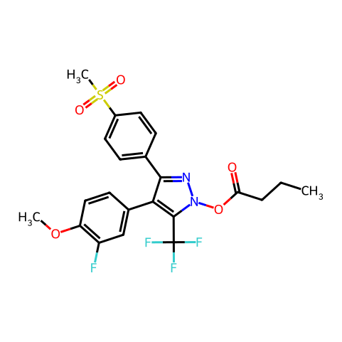 CCCC(=O)On1nc(-c2ccc(S(C)(=O)=O)cc2)c(-c2ccc(OC)c(F)c2)c1C(F)(F)F